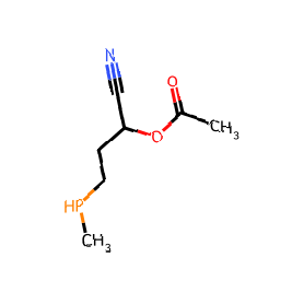 CPCCC(C#N)OC(C)=O